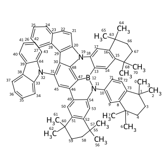 CC1(C)CCC(C)(C)c2cc(N3B4c5cc6c(cc5-n5c7ccc8ccccc8c7c7c(-n8c9ccccc9c9ccccc98)cc(c4c75)-c4cc5c(cc43)C(C)(C)CCC5(C)C)C(C)(C)CCC6(C)C)ccc21